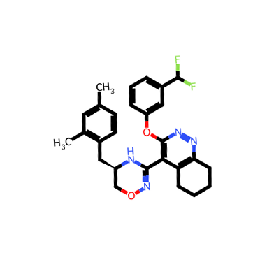 Cc1ccc(C[C@@H]2CON=C(c3c(Oc4cccc(C(F)F)c4)nnc4c3CCCC4)N2)c(C)c1